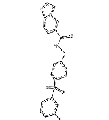 O=C(NCc1ccc(S(=O)(=O)c2cccc(F)c2)cc1)c1ccc2nccn2c1